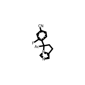 CC(=O)C1(c2ccc(C#N)cc2F)CCc2cncn21